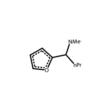 CCCC([N]C)c1ccco1